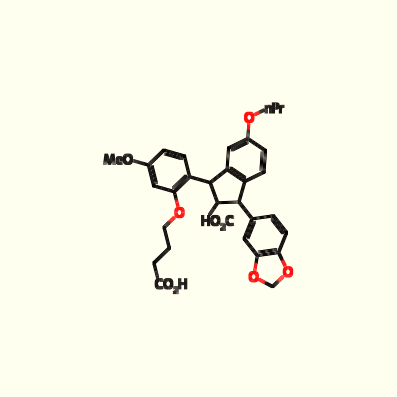 CCCOc1ccc2c(c1)C(c1ccc(OC)cc1OCCCC(=O)O)C(C(=O)O)C2c1ccc2c(c1)OCO2